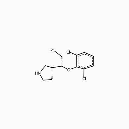 CC(C)C[C@H](Oc1c(Cl)cccc1Cl)[C@@H]1CCNC1